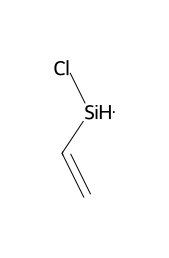 C=C[SiH]Cl